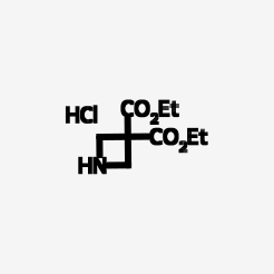 CCOC(=O)C1(C(=O)OCC)CNC1.Cl